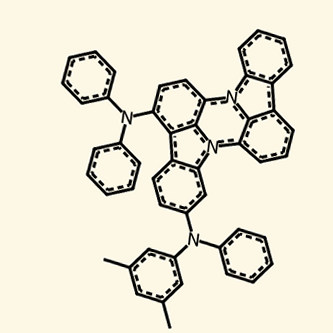 Cc1cc(C)cc(N(c2ccccc2)c2ccc3c4c(N(c5ccccc5)c5ccccc5)ccc5c4n(c3c2)c2cccc3c4ccccc4n5c32)c1